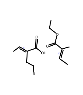 C/C=C(\C)C(=O)OCC.C/C=C(\CCC)C(=O)O